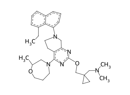 CCc1cccc2cccc(N3CCc4c(nc(OCC5(CN(C)C)CC5)nc4N4CCCOC(C)C4)C3)c12